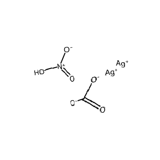 O=C([O-])[O-].O=[N+]([O-])O.[Ag+].[Ag+]